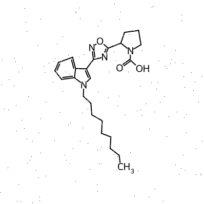 CCCCCCCCCn1cc(-c2noc(C3CCCN3C(=O)O)n2)c2ccccc21